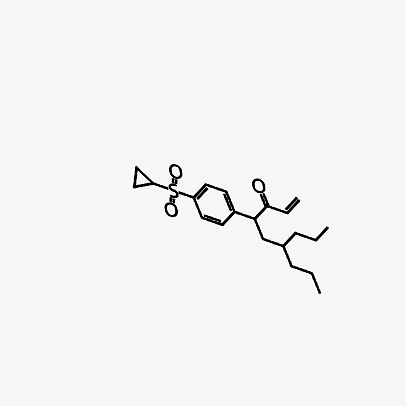 C=CC(=O)C(CC(CCC)CCC)c1ccc(S(=O)(=O)C2CC2)cc1